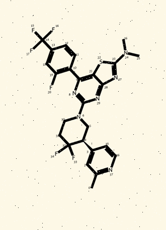 Cc1cc([C@@H]2CN(c3nc(-c4ccc(C(F)(F)F)cc4F)c4sc(N(C)C)nc4n3)CCC2(F)F)ccn1